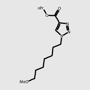 CCCOC(=O)c1cn(CCCCCCCOC)nn1